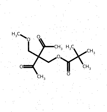 COCC(COC(=O)C(C)(C)C)(C(C)=O)C(C)=O